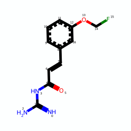 N=C(N)NC(=O)/C=C/c1cccc(OCF)c1